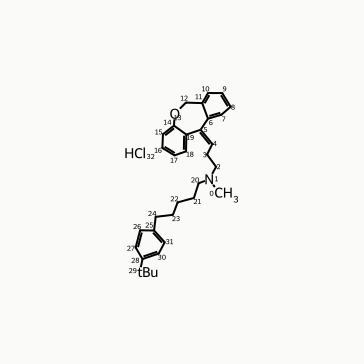 CN(CCC=C1c2ccccc2COc2ccccc21)CCCCCc1ccc(C(C)(C)C)cc1.Cl